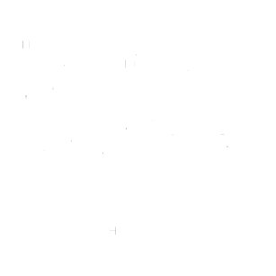 CCC(=O)Oc1cccc(SC)c1COc1cc(F)c(CC)cc1C